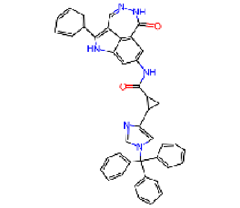 O=C1NN=Cc2c(-c3ccccc3)[nH]c3cc(NC(=O)C4CC4c4cn(C(c5ccccc5)(c5ccccc5)c5ccccc5)cn4)cc1c23